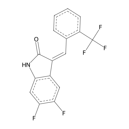 O=C1Nc2cc(F)c(F)cc2C1=Cc1ccccc1C(F)(F)F